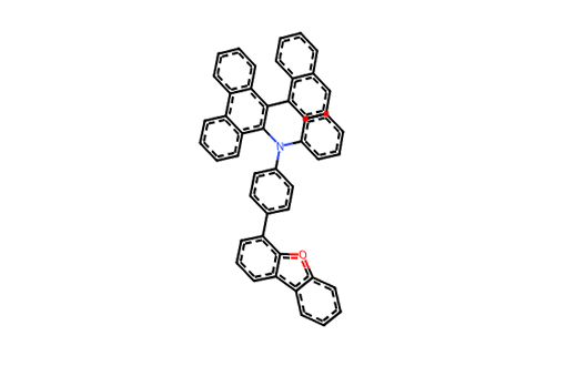 c1ccc(N(c2ccc(-c3cccc4c3oc3ccccc34)cc2)c2c(-c3cccc4ccccc34)c3ccccc3c3ccccc23)cc1